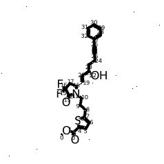 COC(=O)c1ccc(CCCN2C(=O)C(F)(F)C[C@@H]2/C=C/[C@@H](O)CCC#Cc2ccccc2)s1